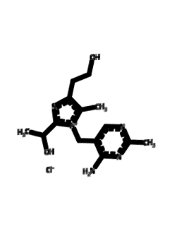 Cc1ncc(C[n+]2c(C(C)O)sc(CCO)c2C)c(N)n1.[Cl-]